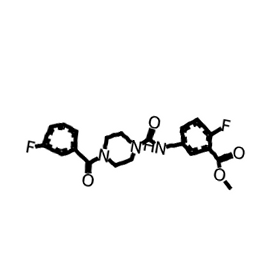 COC(=O)c1cc(NC(=O)N2CCN(C(=O)c3cccc(F)c3)CC2)ccc1F